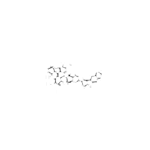 Oc1c(O)c(O)c2c(-c3ccc4cc(-c5ccc6oc7cc8ccccc8cc7c6c5)ccc4c3)c3c(O)c(O)c(O)c(O)c3c(-c3ccccc3)c2c1O